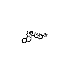 CCC1c2ccccc2CCN1C(=O)c1cc2ccc(Br)cn2n1